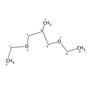 CCOCC(C)COCC